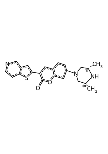 C[C@@H]1CN(c2ccc3cc(-c4cc5cnccc5s4)c(=O)oc3c2)C[C@H](C)N1